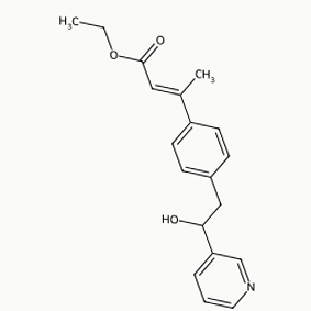 CCOC(=O)C=C(C)c1ccc(CC(O)c2cccnc2)cc1